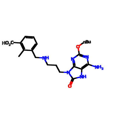 CCCCOc1nc(N)c2[nH]c(=O)n(CCCNCc3cccc(C(=O)O)c3C)c2n1